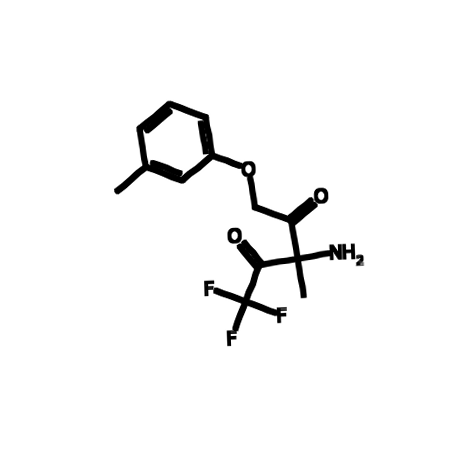 Cc1cccc(OCC(=O)C(C)(N)C(=O)C(F)(F)F)c1